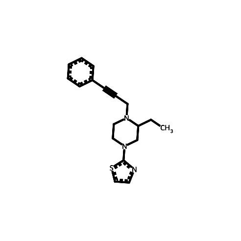 CCC1CN(c2nccs2)CCN1CC#Cc1ccccc1